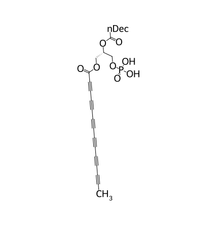 CC#CC#CC#CC#CC#CC#CC(=O)OC[C@@H](COP(=O)(O)O)OC(=O)CCCCCCCCCC